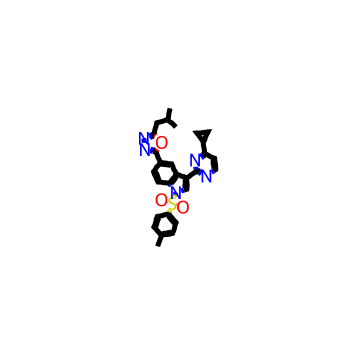 Cc1ccc(S(=O)(=O)n2cc(-c3nccc(C4CC4)n3)c3cc(-c4nnc(CC(C)C)o4)ccc32)cc1